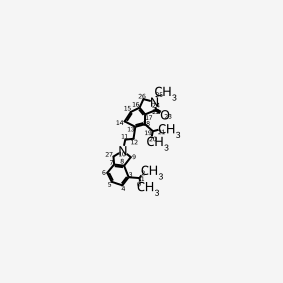 CC(C)c1cccc2c1CN(CCc1ccc3c(c1C(C)C)C(=O)N(C)C3)C2